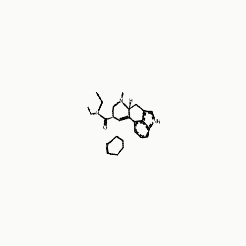 C1CCCCC1.CCN(CC)C(=O)[C@@H]1C=C2c3cccc4[nH]cc(c34)C[C@H]2N(C)C1